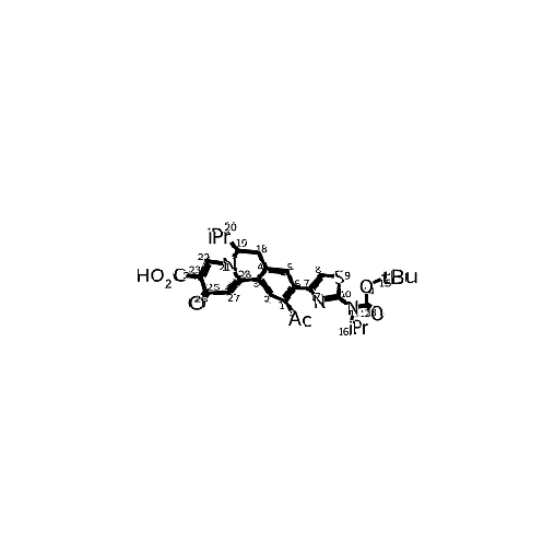 CC(=O)c1cc2c(cc1-c1csc(N(C(=O)OC(C)(C)C)C(C)C)n1)CC(C(C)C)n1cc(C(=O)O)c(=O)cc1-2